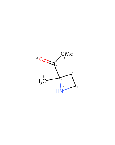 COC(=O)C1(C)CCN1